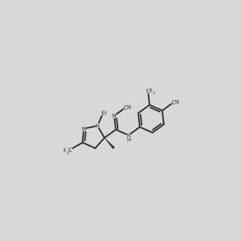 CCN1N=C(C(F)(F)F)C[C@@]1(C)C(=NC#N)Nc1ccc(C#N)c(C(F)(F)F)c1